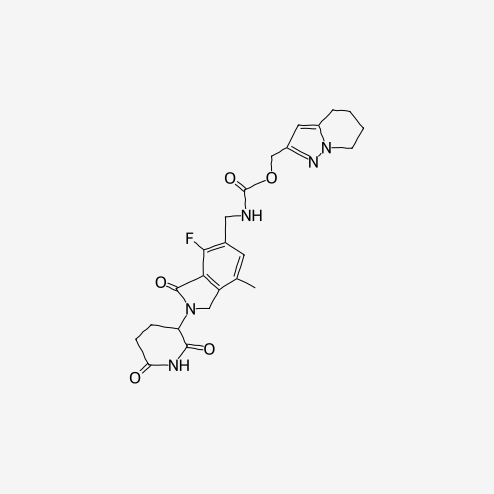 Cc1cc(CNC(=O)OCc2cc3n(n2)CCCC3)c(F)c2c1CN(C1CCC(=O)NC1=O)C2=O